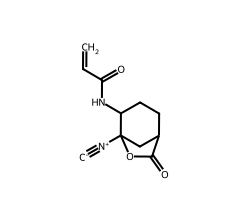 [C-]#[N+]C12CC(CCC1NC(=O)C=C)C(=O)O2